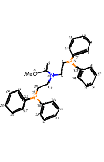 COC(C)N(CCP(c1ccccc1)c1ccccc1)CCP(c1ccccc1)c1ccccc1